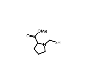 COC(=O)C1CCCN1CS